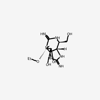 CCO[C@@H]1CN2C(=N)N[C@@H](CO)[C@@H]3NC(=N)N[C@@]32C1(O)O